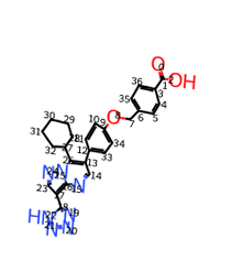 O=C(O)c1ccc(COc2ccc(-c3cnc4c(-c5nnn[nH]5)cnn4c3C3CCCCC3)cc2)cc1